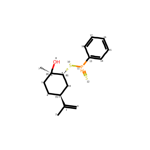 C=C(C)[C@H]1CC[C@@](C)(O)[C@H](S[PH](=S)c2ccccc2)C1